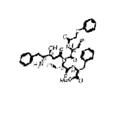 COC(=O)[C@H](Cc1ccccc1)NC(=O)[C@H](CC(C)C)N(C(=O)C[C@H](O)[C@@H](N)Cc1ccccc1)C(=O)[C@H](CC(C)C)NC(=O)COc1ccccc1